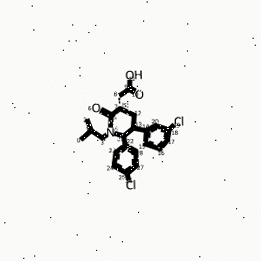 CC(C)CN1C(=O)[C@H](CC(=O)O)CC(c2cccc(Cl)c2)C1c1ccc(Cl)cc1